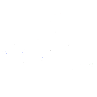 O=C(O)Cc1oc(-n2cnc3ccccc32)nc1-c1ccc(Cl)cc1